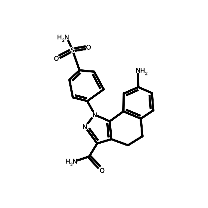 NC(=O)c1nn(-c2ccc(S(N)(=O)=O)cc2)c2c1CCc1ccc(N)cc1-2